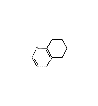 C1=N[N]C2=C(C1)CCCC2